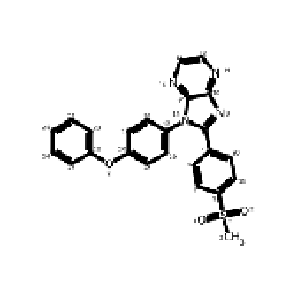 CS(=O)(=O)c1ccc(-c2nc3nccnc3n2-c2ccc(Oc3ccccc3)cc2)cc1